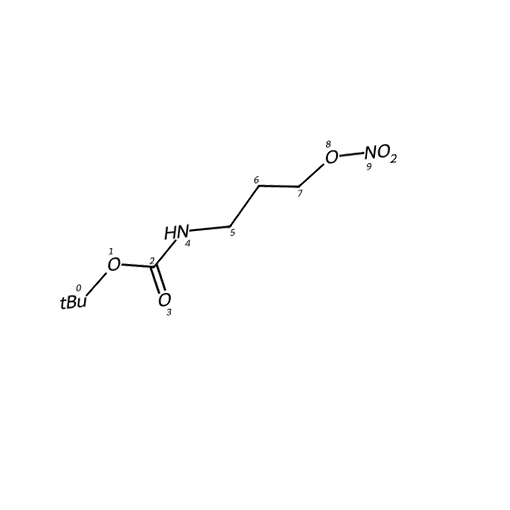 CC(C)(C)OC(=O)NCCCO[N+](=O)[O-]